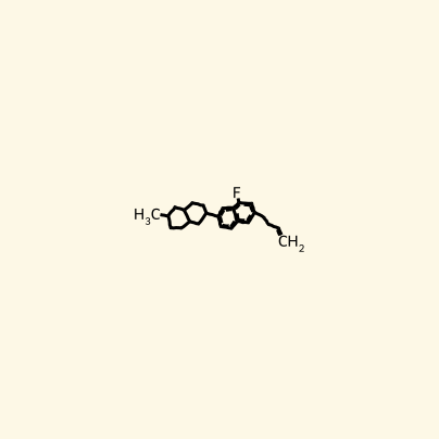 C=CCCc1cc(F)c2cc(C3CCC4CC(C)CCC4C3)ccc2c1